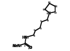 CNC(=O)NCCCCCN1C[CH]CC1